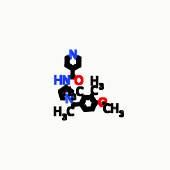 COc1ccc(C(C)N2CC[C@@H](NC(=O)c3ccncc3)C2)c(C)c1C